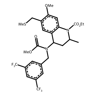 CCOC(=O)N1c2cc(OC)c(CSC)cc2C(N(Cc2cc(C(F)(F)F)cc(C(F)(F)F)c2)C(=O)OC)CC1C